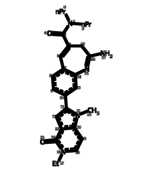 CCCN(CCC)C(=O)C1=Cc2ccc(-c3cc4c(=O)n(CC)ccc4n3C)cc2N=C(N)C1